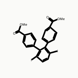 COC(=O)c1ccc(-c2c(I)ccc(I)c2-c2ccc(C(=O)OC)cc2)cc1